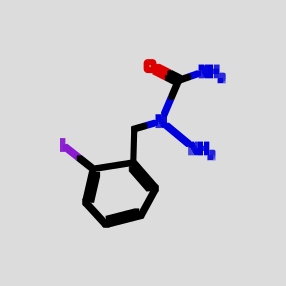 NC(=O)N(N)Cc1ccccc1I